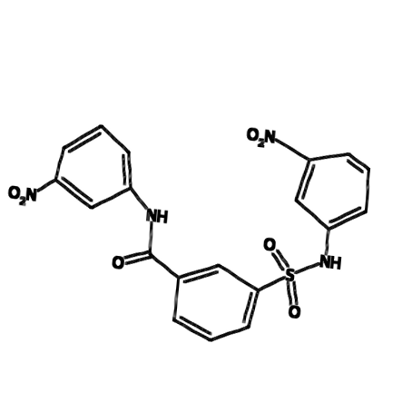 O=C(Nc1cccc([N+](=O)[O-])c1)c1cccc(S(=O)(=O)Nc2cccc([N+](=O)[O-])c2)c1